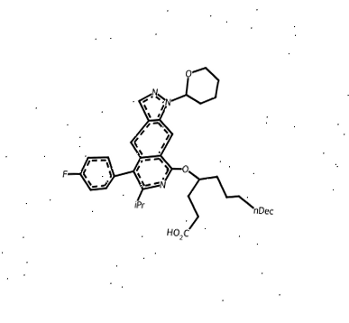 CCCCCCCCCCCCCC(CCC(=O)O)Oc1nc(C(C)C)c(-c2ccc(F)cc2)c2cc3cnn(C4CCCCO4)c3cc12